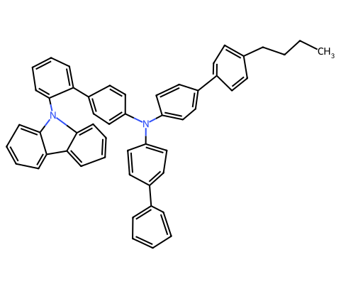 CCCCc1ccc(-c2ccc(N(c3ccc(-c4ccccc4)cc3)c3ccc(-c4ccccc4-n4c5ccccc5c5ccccc54)cc3)cc2)cc1